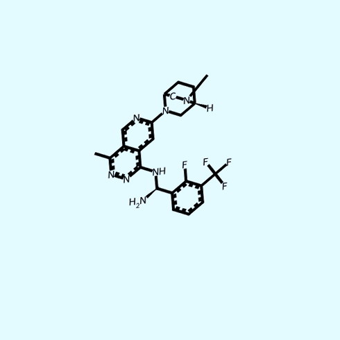 Cc1nnc(N[C@H](N)c2cccc(C(F)(F)F)c2F)c2cc(N3C[C@H]4CCC3CN4C)ncc12